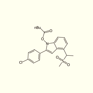 CCCCC(=O)On1c(-c2ccc(Cl)cc2)cc2c(C(C)S(C)(=O)=O)cccc21